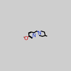 COc1ccc(CN2CCC(C)CC2)nc1